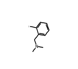 [CH]c1ccccc1CN(C)C